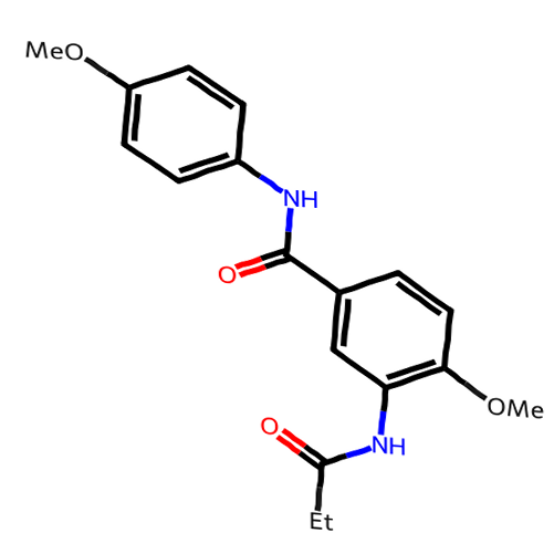 CCC(=O)Nc1cc(C(=O)Nc2ccc(OC)cc2)ccc1OC